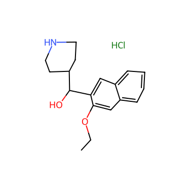 CCOc1cc2ccccc2cc1C(O)C1CCNCC1.Cl